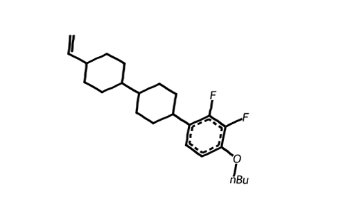 C=CC1CCC(C2CCC(c3ccc(OCCCC)c(F)c3F)CC2)CC1